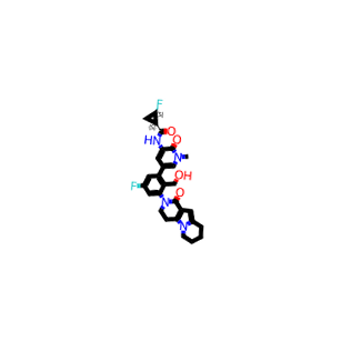 Cn1cc(-c2cc(F)cc(N3CCc4c(cc5n4CCCC5)C3=O)c2CO)cc(NC(=O)[C@@H]2C[C@@H]2F)c1=O